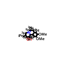 [2H]c1c(OC)c(OC)c([2H])c2c1C([2H])([2H])C([2H])([2H])N1CC([2H])(CC(C)C)C([2H])(O)C([2H])([2H])C21[2H]